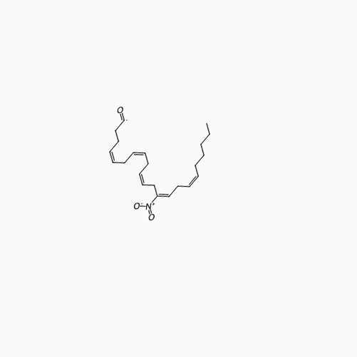 CCCCC/C=C\C/C=C(\C/C=C\C/C=C\C/C=C\CC[C]=O)[N+](=O)[O-]